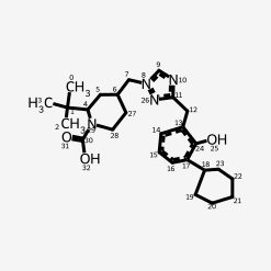 CC(C)(C)C1CC(Cn2cnc(Cc3cccc(C4CCCCC4)c3O)n2)CCN1C(=O)O